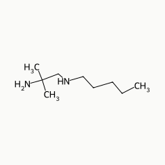 CCCCCNCC(C)(C)N